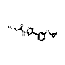 CCC(=O)Nc1nc(-c2cccc(OC3CC3)c2)cs1